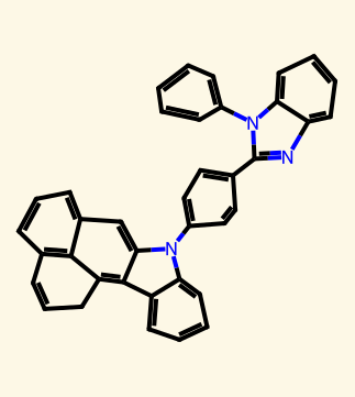 C1=Cc2cccc3cc4c(c(c23)C1)c1ccccc1n4-c1ccc(-c2nc3ccccc3n2-c2ccccc2)cc1